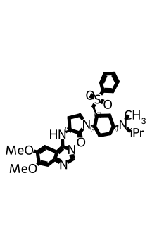 COc1cc2ncnc(N[C@H]3CCN([C@H]4CC[C@@H](N(C)C(C)C)C[C@@H]4CS(=O)(=O)c4ccccc4)C3=O)c2cc1OC